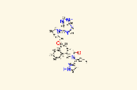 CC(c1cc[nH]n1)N(C=O)Cc1ccc(OCC2CCCN2c2ncnc3[nH]cnc23)c2ccccc12